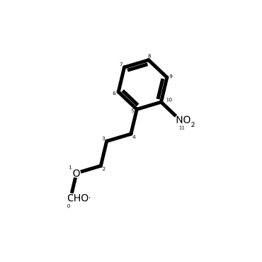 O=[C]OCCCc1ccccc1[N+](=O)[O-]